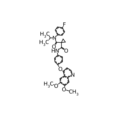 COc1cc2nccc(Oc3ccc(NC(=O)C4(C(=O)N(c5ccc(F)cc5)C(C)C)CC4)cc3)c2cc1OC